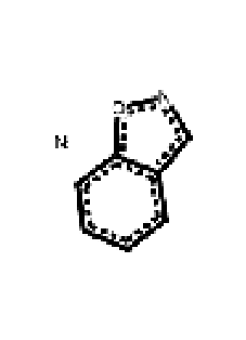 [N].c1ccc2oncc2c1